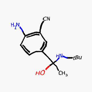 CC(C)(C)NC(C)(O)c1ccc(N)c(C#N)c1